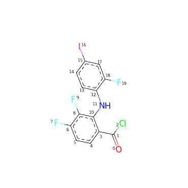 O=C(Cl)c1ccc(F)c(F)c1Nc1ccc(I)cc1F